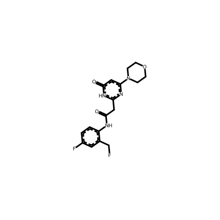 O=C(Cc1nc(N2CCOCC2)cc(=O)[nH]1)Nc1ccc(F)cc1CF